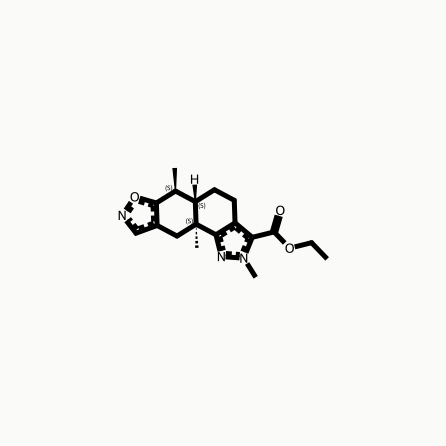 CCOC(=O)c1c2c(nn1C)[C@@]1(C)Cc3cnoc3[C@@H](C)[C@@H]1CC2